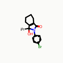 CC(C)C1(O)C2=C(CCCC2)C(=O)N1c1ccc(Br)cc1